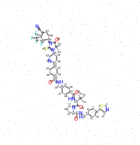 Cc1ncsc1-c1ccc(CNC(=O)C2CCCN2C(=O)C(NC(=O)c2ccc(CNC(=O)c3ccc(-c4ccc(N5C(=S)N(c6ccc(C#N)c(C(F)(F)F)c6F)C(=O)C5(C)C)cn4)cc3)cc2)C(C)(C)C)cc1